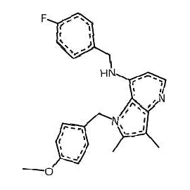 COc1ccc(Cn2c(C)c(C)c3nccc(NCc4ccc(F)cc4)c32)cc1